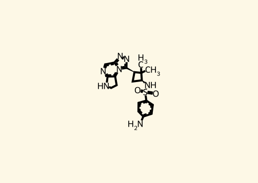 CC1(C)[C@@H](NS(=O)(=O)c2ccc(N)cc2)C[C@H]1c1nnc2cnc3c(n12)CCN3